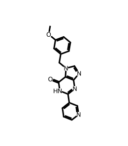 COc1cccc(Cn2cnc3nc(-c4cccnc4)[nH]c(=O)c32)c1